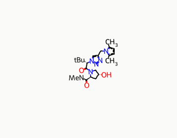 CNC(=O)[C@@H]1C[C@@H](O)CN1C(=O)[C@@H](n1cc(Cn2c(C)ccc2C)nn1)C(C)(C)C